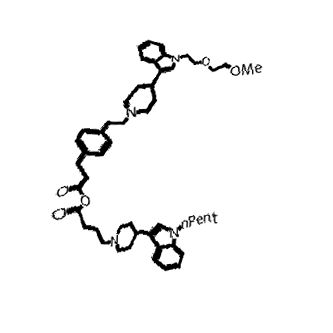 CCCCCn1cc(C2CCN(CCCC(=O)OC(=O)CCc3ccc(CCN4CCC(c5cn(CCOCCOC)c6ccccc56)CC4)cc3)CC2)c2ccccc21